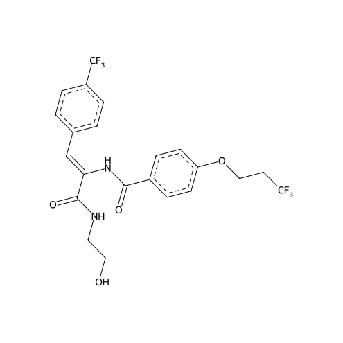 O=C(NCCO)/C(=C/c1ccc(C(F)(F)F)cc1)NC(=O)c1ccc(OCCC(F)(F)F)cc1